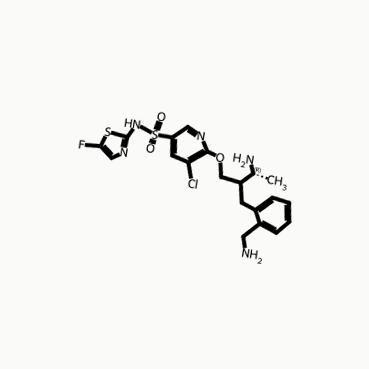 C[C@@H](N)C(COc1ncc(S(=O)(=O)Nc2ncc(F)s2)cc1Cl)Cc1ccccc1CN